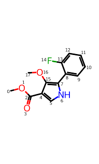 COC(=O)c1c[nH]c(-c2ccccc2F)c1OC